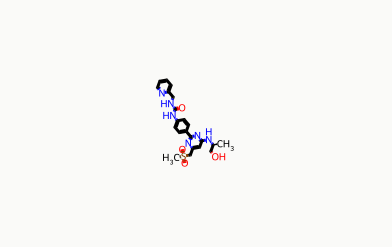 C[C@@H](CO)Nc1cc(CS(C)(=O)=O)nc(-c2ccc(NC(=O)NCc3ccccn3)cc2)n1